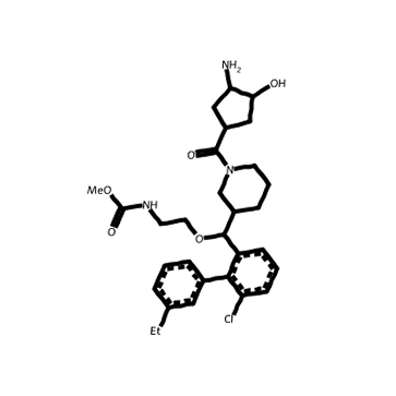 CCc1cccc(-c2c(Cl)cccc2C(OCCNC(=O)OC)C2CCCN(C(=O)C3CC(N)C(O)C3)C2)c1